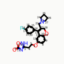 O=c1nc(CCOc2ccc3c(c2)C(c2ccc(F)cc2)=C(CN2CCCC2)CO3)[nH]o1